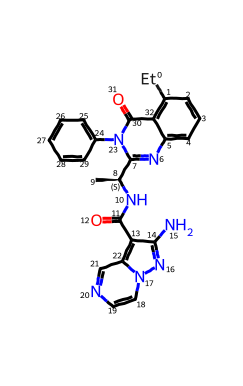 CCc1cccc2nc([C@H](C)NC(=O)c3c(N)nn4ccncc34)n(-c3ccccc3)c(=O)c12